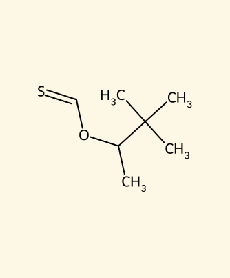 CC(OC=S)C(C)(C)C